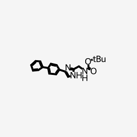 CC(C)(C)OC(=O)NCc1nc(-c2ccc(-c3ccccc3)cc2)c[nH]1